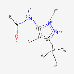 CC(=O)N(C)c1c(C)c(C(C)(C)C)nn1C